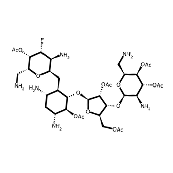 CC(=O)OC[C@H]1O[C@@H](O[C@H]2[C@H](C[C@H]3O[C@H](CN)[C@H](OC(C)=O)[C@H](F)[C@H]3N)[C@@H](N)C[C@@H](N)[C@@H]2OC(C)=O)[C@H](OC(C)=O)[C@@H]1O[C@H]1O[C@@H](CN)[C@@H](OC(C)=O)[C@H](OC(C)=O)[C@H]1N